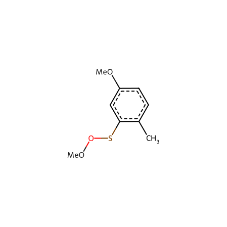 COOSc1cc(OC)ccc1C